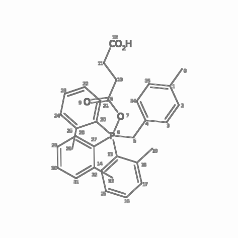 Cc1ccc(CP(OC(=O)CCC(=O)O)(c2ccccc2C)(c2ccccc2C)c2ccccc2C)cc1